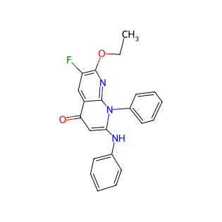 CCOc1nc2c(cc1F)c(=O)cc(Nc1ccccc1)n2-c1ccccc1